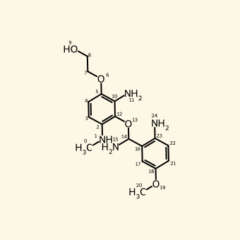 CNc1ccc(OCCO)c(N)c1OC(N)c1cc(OC)ccc1N